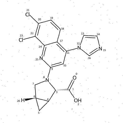 O=C(O)[C@@H]1C2C[C@@H]2CN1c1cc(-n2ccnc2)c2ccc(Cl)c(Cl)c2n1